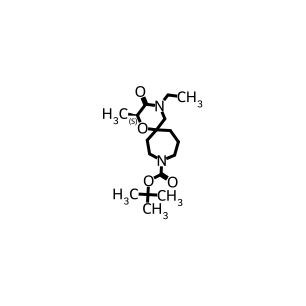 CCN1CC2(CCCN(C(=O)OC(C)(C)C)CC2)O[C@@H](C)C1=O